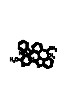 Cc1ncc(-c2nc3ccccc3n2-c2c(C(C)C)cccc2C(C)C)c2oc3ccccc3c12